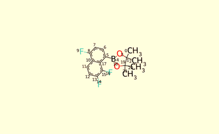 CC1(C)OB(c2ccc(F)c3ccc(F)c(F)c23)OC1(C)C